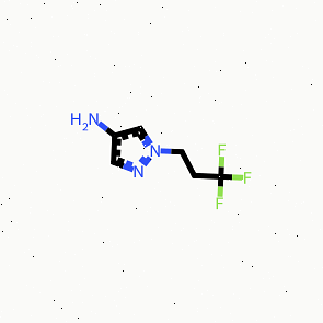 Nc1cnn(CCC(F)(F)F)c1